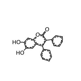 O=c1oc2cc(O)c(O)cc2c(-c2ccccc2)c1-c1ccccc1